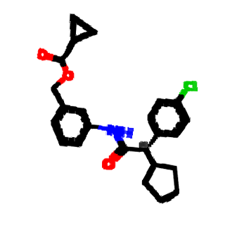 O=C(OCc1cccc(NC(=O)[C@H](c2ccc(Cl)cc2)C2CCCC2)c1)C1CC1